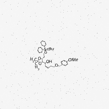 COc1ccc(COCC/C=C\C(O)C2OC(C)(C)O[C@H]2CCO[Si](c2ccccc2)(c2ccccc2)C(C)(C)C)cc1